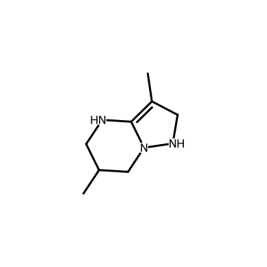 CC1=C2NCC(C)CN2NC1